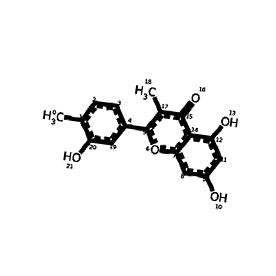 Cc1ccc(-c2oc3cc(O)cc(O)c3c(=O)c2C)cc1O